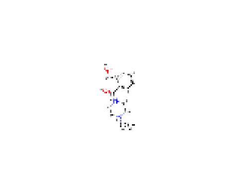 O=C(O)N1CCN(C(=O)c2ccccc2CO)CC1